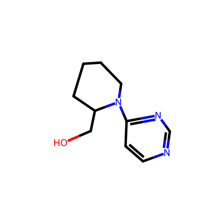 OCC1CCCCN1c1ccncn1